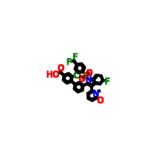 Cn1c(-c2c(-c3cccc(-c4ccc(C(=O)O)cc4Cl)c3)n(S(=O)(=O)c3ccc(C(F)F)cc3)c3c2=CC(F)CC=3)cccc1=O